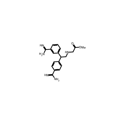 COC(=O)CNCC(c1ccc(C(=N)N)cc1)c1cccc(C(=N)N)c1